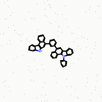 c1ccc(-n2c3ccccc3c3cc(-c4cccc(-c5cc6[nH]c7ccccc7c6c6ccccc56)c4)c4ccccc4c32)cc1